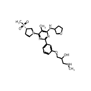 CNCC(O)COc1cccc(-c2nc(NC3CCOC3)c(C)c(N3CC[C@H](S(C)(=O)=O)C3)n2)c1